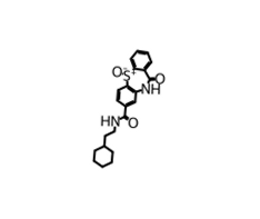 O=C(NCCC1CCCCC1)c1ccc2c(c1)NC(=O)c1ccccc1[S+]2[O-]